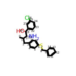 CC(Cc1ccc(SCc2ccccc2)cc1)[C@@H](N)[C@H](O)c1cccc(Cl)c1